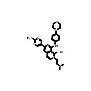 CN(C)CCN1C=Cc2cc(-c3cnc(N)nc3)nc(Nc3ccc(N4CCOCC4)cc3)c2C1C=O